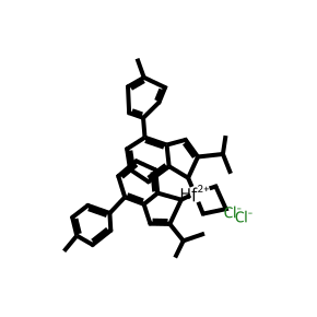 Cc1ccc(-c2cccc3c2C=C(C(C)C)[CH]3[Hf+2]2([CH]3C(C(C)C)=Cc4c(-c5ccc(C)cc5)cccc43)[CH2]C[CH2]2)cc1.[Cl-].[Cl-]